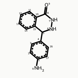 Nc1ccc(C2NNC(=O)c3ccccc32)cc1